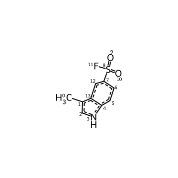 Cc1c[nH]c2ccc(S(=O)(=O)F)cc12